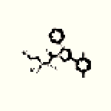 CC(C)(C)[C@@H](C(=O)N1CC(c2cc(F)ccc2F)=C[C@H]1c1ccccc1)N(CCO)C(=O)O